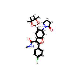 CNC(=O)c1c(-c2ccc(F)cc2)oc2cc(N3CCCC3=O)c(B3OC(C)(C)C(C)(C)O3)cc12